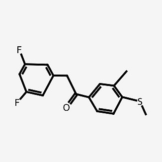 CSc1ccc(C(=O)Cc2cc(F)cc(F)c2)cc1C